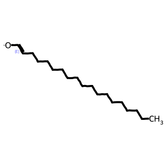 CCCCCCCCCCCCCCCCC/C=C/[O]